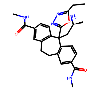 CCc1nnc(C2(C[C@H](C)N)c3ccc(C(=O)NC)cc3CCc3cc(C(=O)NC)ccc32)o1